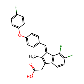 CC1=C(CC(=O)O)c2ccc(F)c(F)c2/C1=C/c1ccc(Oc2ccc(F)cc2)cc1